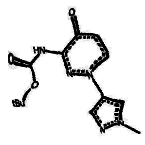 Cn1cc(-n2ccc(=O)c(NC(=O)OC(C)(C)C)n2)cn1